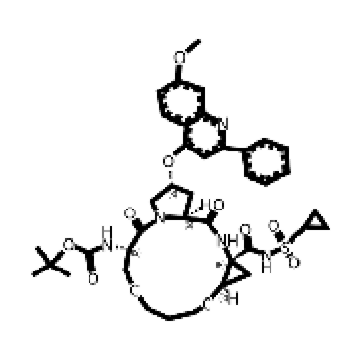 COc1ccc2c(O[C@@H]3C[C@H]4C(=O)N[C@]5(C(=O)NS(=O)(=O)C6CC6)C[C@H]5CCCCCC[C@H](NC(=O)OC(C)(C)C)C(=O)N4C3)cc(-c3ccccc3)nc2c1